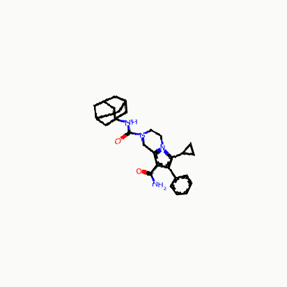 NC(=O)c1c(-c2ccccc2)c(C2CC2)n2c1CN(C(=O)NC13CC4CC(CC(C4)C1)C3)CC2